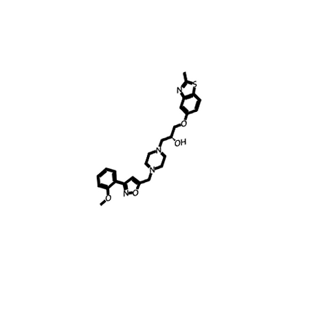 COc1ccccc1-c1cc(CN2CCN(C[C@@H](O)COc3ccc4sc(C)nc4c3)CC2)on1